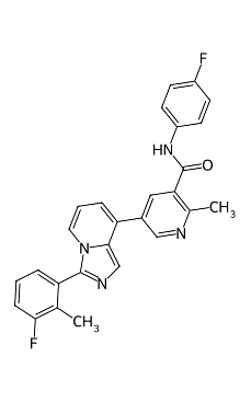 Cc1ncc(-c2cccn3c(-c4cccc(F)c4C)ncc23)cc1C(=O)Nc1ccc(F)cc1